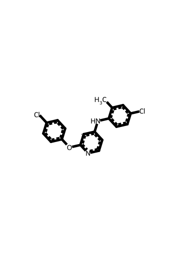 Cc1cc(Cl)ccc1Nc1[c]c(Oc2ccc(Cl)cc2)ncc1